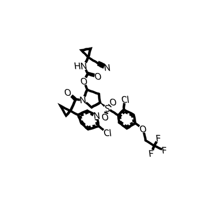 N#CC1(NC(=O)OC2C[C@@H](S(=O)(=O)c3ccc(OCC(F)(F)F)cc3Cl)CN2C(=O)C2(c3ccc(Cl)nc3)CC2)CC1